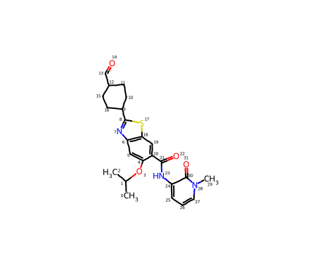 CC(C)Oc1cc2nc(C3CCC(C=O)CC3)sc2cc1C(=O)Nc1cccn(C)c1=O